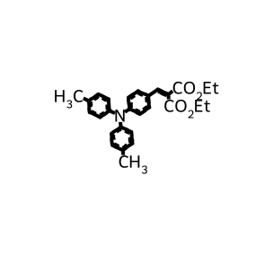 CCOC(=O)C(=Cc1ccc(N(c2ccc(C)cc2)c2ccc(C)cc2)cc1)C(=O)OCC